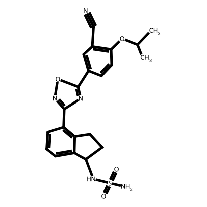 CC(C)Oc1ccc(-c2nc(-c3cccc4c3CCC4NS(N)(=O)=O)no2)cc1C#N